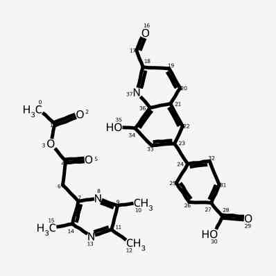 CC(=O)OC(=O)Cc1nc(C)c(C)nc1C.O=Cc1ccc2cc(-c3ccc(C(=O)O)cc3)cc(O)c2n1